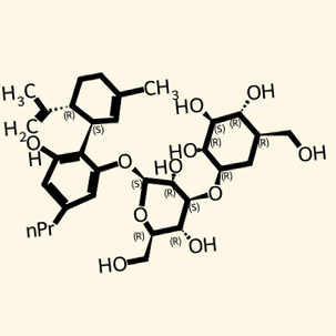 C=C(C)[C@@H]1CCC(C)=C[C@H]1c1c(O)cc(CCC)cc1O[C@@H]1O[C@H](CO)[C@@H](O)[C@H](O[C@@H]2C[C@H](CO)[C@@H](O)[C@H](O)[C@H]2O)[C@H]1O